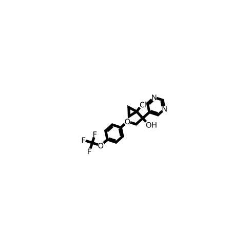 OC(COc1ccc(OC(F)(F)F)cc1)(c1cncnc1)C1(Cl)CC1